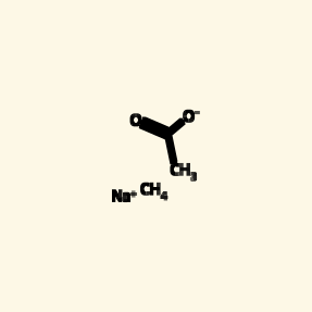 C.CC(=O)[O-].[Na+]